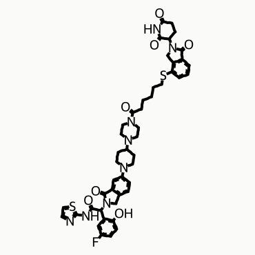 O=C1CCC(N2Cc3c(SCCCCCC(=O)N4CCN(C5CCN(c6ccc7c(c6)C(=O)N(C(C(=O)Nc6nccs6)c6cc(F)ccc6O)C7)CC5)CC4)cccc3C2=O)C(=O)N1